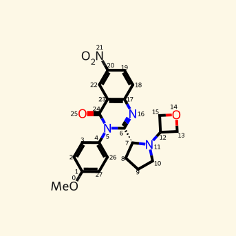 COc1ccc(-n2c([C@H]3CCCN3C3COC3)nc3ccc([N+](=O)[O-])cc3c2=O)cc1